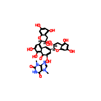 Cn1cnc2c1c(=O)[nH]c(=O)n2C.O=c1c(O)cc([C@H]2Oc3cc(O)cc(O)c3C[C@H]2O)cc2c([C@H]3Oc4cc(O)cc(O)c4C[C@H]3O)cc(O)c(O)c12